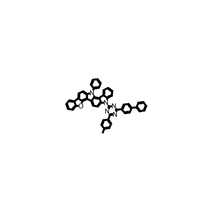 Cc1ccc(-c2nc(-c3ccc(-c4ccccc4)cc3)nc(-n3c4ccccc4c4c3ccc3c5c6oc7ccccc7c6ccc5n(-c5ccccc5)c34)n2)cc1